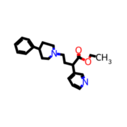 CCOC(=O)C(CCN1CCC(c2ccccc2)CC1)c1cccnc1